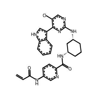 C=CC(=O)Nc1ccc(C(=O)N[C@H]2CCC[C@@H](Nc3ncc(Cl)c(-c4c[nH]c5ccccc45)n3)C2)nc1